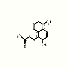 CC1C=CC2C(O)CCCC2C1CCC(=O)O